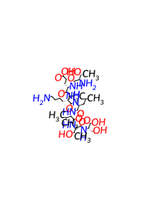 CC(C)C[C@H](NC(=O)[C@H](CCCCN)NC(=O)[C@H](CCC(=O)O)NC(=O)[C@@H](N)[C@@H](C)O)C(=O)N[C@H](C(=O)N[C@H](C(=O)N[C@@H](CO)C(=O)O)[C@@H](C)O)C(C)C